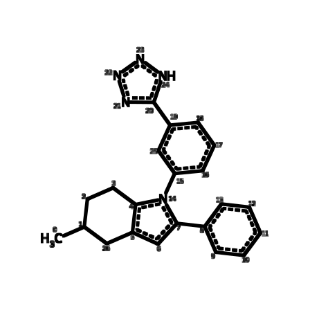 CC1CCc2c(cc(-c3ccccc3)n2-c2cccc(-c3nnn[nH]3)c2)C1